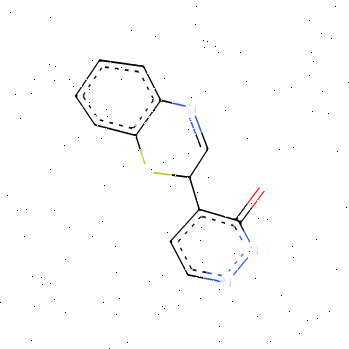 O=c1[nH]nccc1C1C=Nc2ccccc2S1